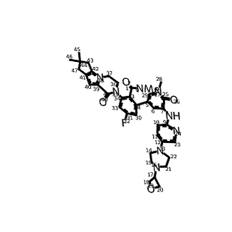 CNC(=O)c1c(-c2cc(Nc3ccc(N4CCN(C5COC5)CC4)cn3)c(=O)n(C)c2)cc(F)cc1N1CCn2c(cc3c2CC(C)(C)C3)C1=O